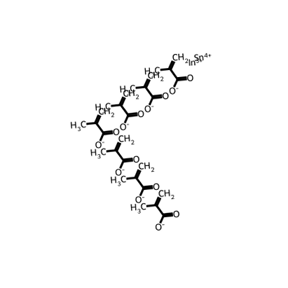 C=C(C)C(=O)[O-].C=C(C)C(=O)[O-].C=C(C)C(=O)[O-].C=C(C)C(=O)[O-].C=C(C)C(=O)[O-].C=C(C)C(=O)[O-].C=C(C)C(=O)[O-].[In+3].[Sn+4]